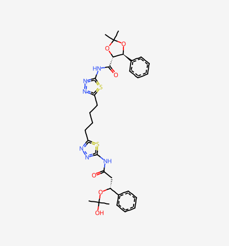 CC(C)(O)O[C@H](CC(=O)Nc1nnc(CCCCc2nnc(NC(=O)[C@@H]3OC(C)(C)O[C@H]3c3ccccc3)s2)s1)c1ccccc1